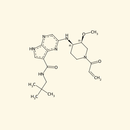 C=CC(=O)N1CC[C@@H](Nc2cnc3[nH]cc(C(=O)NCC(C)(C)C)c3n2)[C@@H](OC)C1